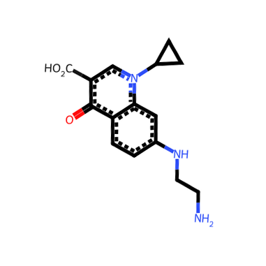 NCCNc1ccc2c(=O)c(C(=O)O)cn(C3CC3)c2c1